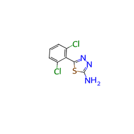 Nc1nnc(-c2c(Cl)cccc2Cl)s1